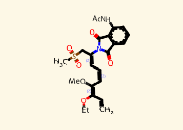 C=C\C(OCC)=C(/C=C\C=C(\CS(C)(=O)=O)N1C(=O)c2cccc(NC(C)=O)c2C1=O)OC